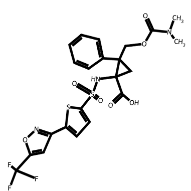 CN(C)C(=O)OCC1(c2ccccc2)CC1(NS(=O)(=O)c1ccc(-c2cc(C(F)(F)F)on2)s1)C(=O)O